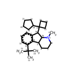 CN1CCCC2c3c(cccc3C(C)(C)C)C(C3(C4CCCC4)CCC3)C21